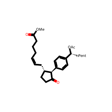 CCCCC[C@@H](OC(C)=O)c1ccc([C@H]2C(=O)CC[C@@H]2C/C=C\CCCC(=O)OC)cc1